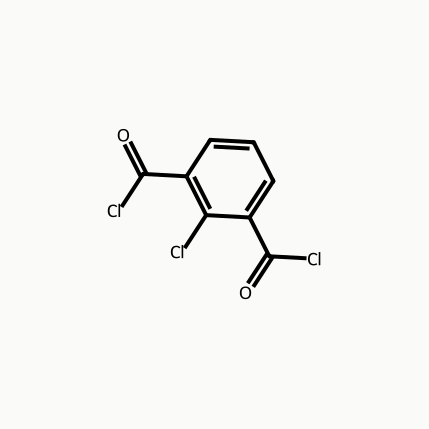 O=C(Cl)c1cccc(C(=O)Cl)c1Cl